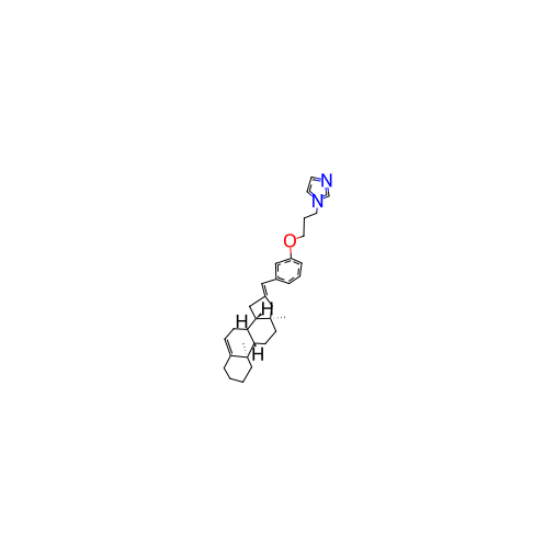 C[C@]12CC[C@H]3[C@@H](CC=C4CCCC[C@@]43C)[C@@H]1CC(=Cc1cccc(OCCCn3ccnc3)c1)C2